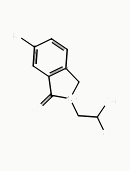 CC(O)CN1Cc2ccc(Br)cc2C1=O